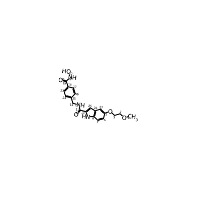 COCCOc1ccc2[nH]c(C(=O)NCc3ccc(C(=O)NO)cc3)cc2c1